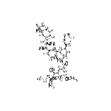 COc1cc(C(=O)Nc2ccc(N3CCCCC3)cc2-c2cc(C(=O)NCc3cccc(C(F)(F)F)c3)ccn2)cc(C(=O)C(C)(N)CCI)c1